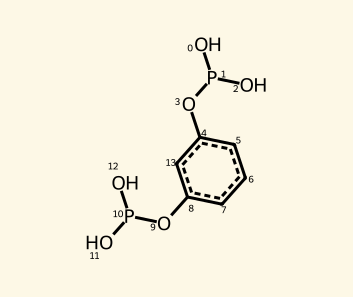 OP(O)Oc1cccc(OP(O)O)c1